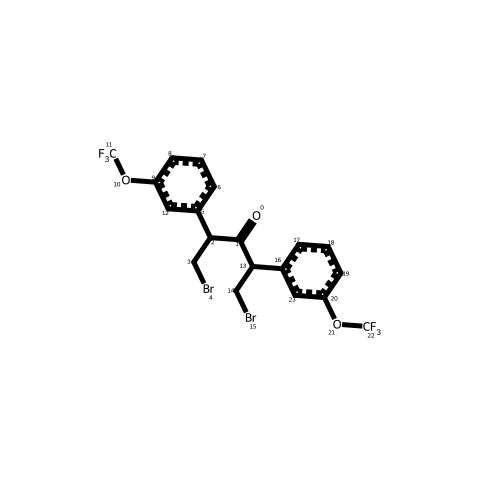 O=C(C(CBr)c1cccc(OC(F)(F)F)c1)C(CBr)c1cccc(OC(F)(F)F)c1